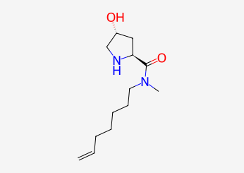 C=CCCCCCN(C)C(=O)[C@@H]1C[C@@H](O)CN1